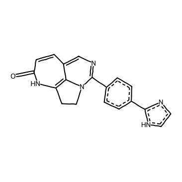 O=C1C=CC2=CN=C(c3ccc(-c4ncc[nH]4)cc3)N3CCC(=C23)N1